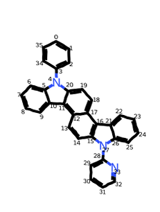 c1ccc(-n2c3ccccc3c3c4ccc5c(c4ccc32)c2ccccc2n5-c2ccccn2)cc1